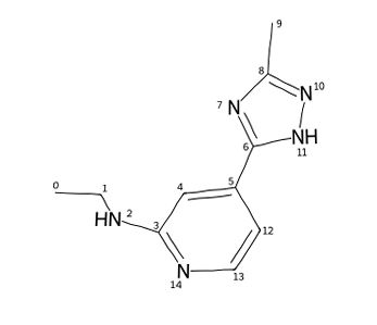 CCNc1cc(-c2nc(C)n[nH]2)ccn1